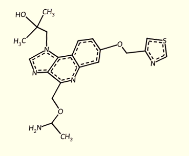 CC(N)OCc1nc2cc(OCc3cscn3)ccc2c2c1ncn2CC(C)(C)O